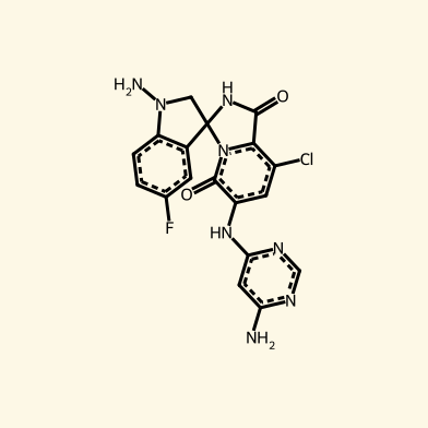 Nc1cc(Nc2cc(Cl)c3n(c2=O)C2(CN(N)c4ccc(F)cc42)NC3=O)ncn1